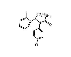 NC(=O)N(c1ccc(Cl)cc1)C(C(=O)O)c1ccccc1I